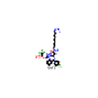 COc1ccc2c(c1)C(c1ccc(Cl)cc1)=N[C@@H]([C@@H](C)C(=O)NCCCCCCCCCN)c1nnc(C)n1-2.O=C(O)C(F)(F)F